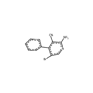 N#Cc1c(N)ncc(Br)c1-c1ccccc1